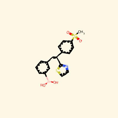 CS(=O)(=O)c1ccc(C(=Cc2cccc(B(O)O)c2)c2nccs2)cc1